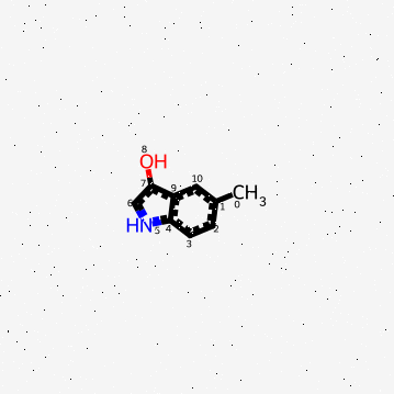 Cc1ccc2[nH]cc(O)c2c1